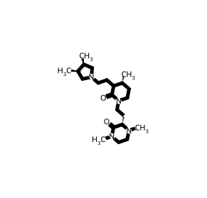 C[C@@H]1CCN(CC[C@H]2C(=O)N(C)CCN2C)C(=O)C1CCN1C[C@@H](C)[C@@H](C)C1